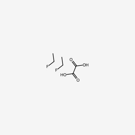 CCF.CCF.O=C(O)C(=O)O